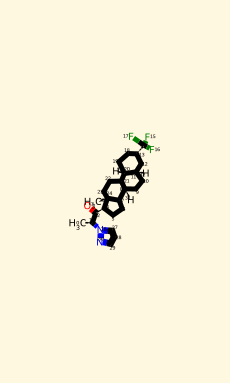 C[C@H](C(=O)[C@H]1CCC2[C@@H]3CC[C@@H]4C[C@@H](C(F)(F)F)CC[C@@H]4C3CC[C@@]21C)n1cccn1